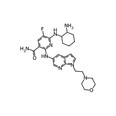 NC(=O)c1cc(F)c(NC2CCCCC2N)nc1Nc1cnc2c(ccn2CCN2CCOCC2)c1